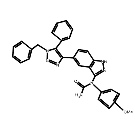 COc1ccc(N(C(N)=O)c2n[nH]c3ccc(-c4nnn(Cc5ccccc5)c4-c4ccccc4)cc23)cc1